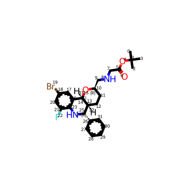 CC(C)(C)OC(=O)CNC[C@H]1CC[C@@H]2[C@H](O1)c1cc(Br)cc(F)c1N[C@H]2c1ccccc1